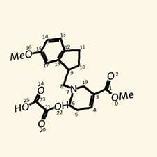 COC(=O)C1=CCCN(CC2CCc3ccc(OC)cc32)C1.O=C(O)C(=O)O